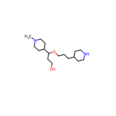 CN1CCC(C(CCO)OCCCC2CCNCC2)CC1